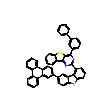 c1ccc(-c2cccc(-c3nc(-c4cccc5oc6ccc(-c7ccc8c9ccccc9c9ccccc9c8c7)cc6c45)nc4c3sc3ccccc34)c2)cc1